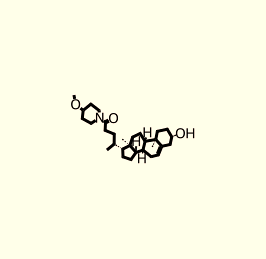 COC1CCN(C(=O)CCC(C)[C@H]2CC[C@H]3[C@@H]4CC=C5C[C@@H](O)CC[C@]5(C)[C@H]4CC[C@]23C)CC1